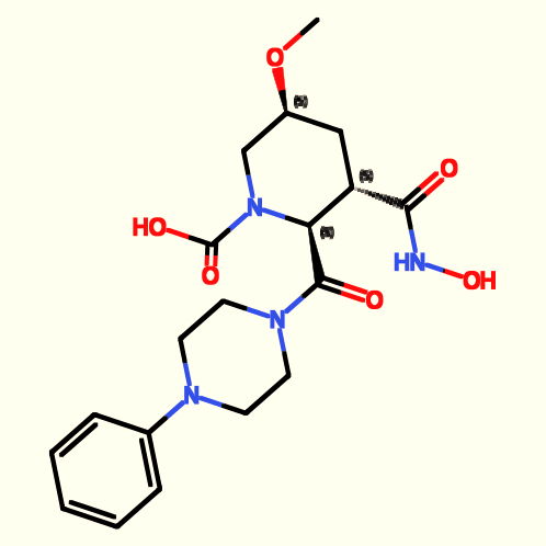 CO[C@H]1C[C@H](C(=O)NO)[C@@H](C(=O)N2CCN(c3ccccc3)CC2)N(C(=O)O)C1